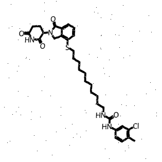 Cc1ccc(NC(=O)NCCCCCCCCCCCSc2cccc3c2CN(C2CCC(=O)NC2=O)C3=O)cc1Cl